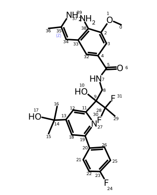 COc1cc(C(=O)NCC(O)(c2cc(C(C)(C)O)cc(-c3ccc(F)cc3)n2)C(C)(F)F)cc(/C=C(/C)N)c1N